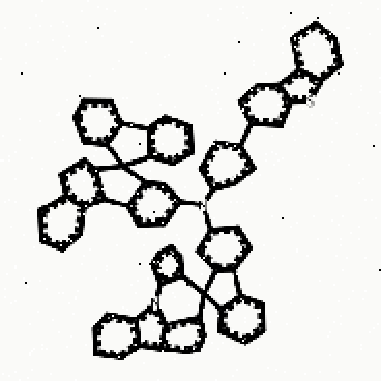 c1ccc2c(c1)-c1ccccc1C21c2cc(N(c3ccc(-c4ccc5c(c4)sc4ccccc45)cc3)c3ccc4c(c3)C3(c5ccccc5-4)c4ccccc4-n4c5ccccc5c5cccc3c54)ccc2-c2c1ccc1ccccc21